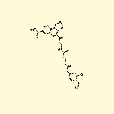 COC(=O)c1ccc2c(c1)nc(NCCNC(=O)CCCNCc1ccc(OC(F)(F)F)c(Cl)c1)c1ccncc12